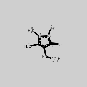 Cc1c(NC(=O)O)c(=O)n(C(C)C)n1C